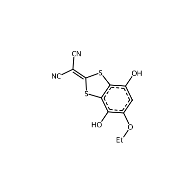 CCOc1cc(O)c2c(c1O)SC(=C(C#N)C#N)S2